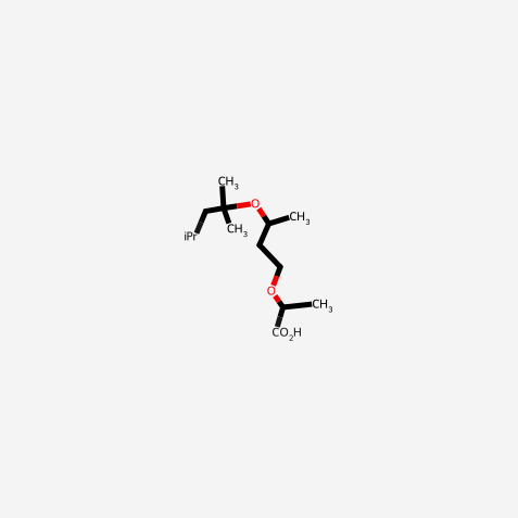 CC(C)CC(C)(C)OC(C)CCOC(C)C(=O)O